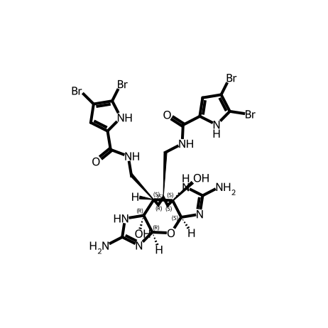 NC1=N[C@@H]2O[C@@H]3N=C(N)N[C@]34[C@H]([C@H](CNC(=O)c3cc(Br)c(Br)[nH]3)[C@@H](CNC(=O)c3cc(Br)c(Br)[nH]3)[C@@H]4O)[C@]2(O)N1